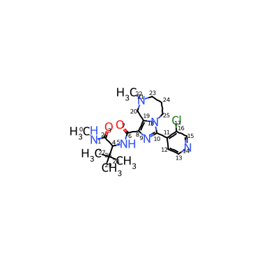 CNC(=O)C(NC(=O)c1nc(-c2ccncc2Cl)n2c1CN(C)CCC2)C(C)(C)C